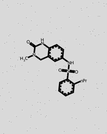 CCCc1ccccc1S(=O)(=O)Nc1ccc2c(c1)CN(C)C(=O)N2